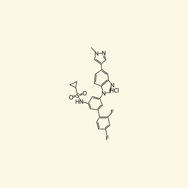 Cl.Cn1cc(-c2ccc3c(c2)ncn3-c2cc(NS(=O)(=O)C3CC3)cc(-c3ccc(F)cc3F)c2)cn1